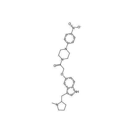 CN1CCCC1Cc1c[nH]c2ccc(OCC(=O)N3CCN(c4ccc([N+](=O)[O-])cc4)CC3)cc12